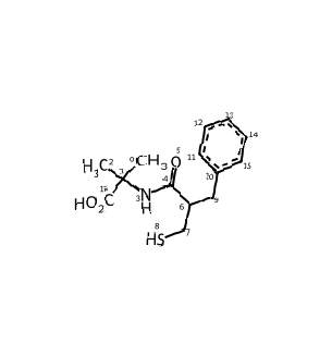 CC(C)(NC(=O)C(CS)Cc1ccccc1)C(=O)O